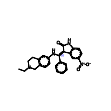 CCN1CCc2cc(N/C(=C3\C(=O)Nc4ccc([N+](=O)[O-])cc43)c3ccccc3)ccc2C1